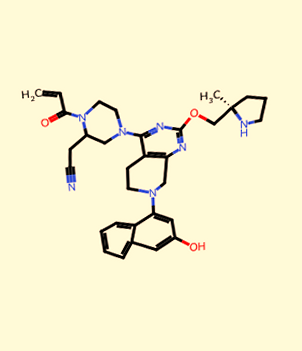 C=CC(=O)N1CCN(c2nc(OC[C@@]3(C)CCCN3)nc3c2CCN(c2cc(O)cc4ccccc24)C3)CC1CC#N